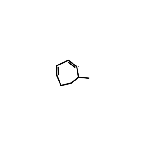 CC1[C]=CC=CCC1